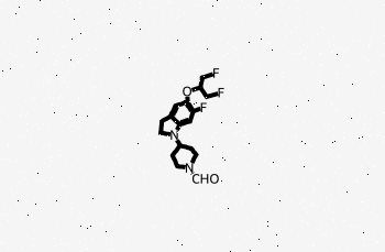 O=CN1CCC(N2CCc3cc(OC(CF)CF)c(F)cc32)CC1